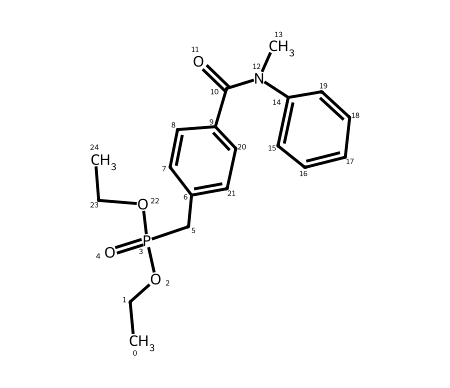 CCOP(=O)(Cc1ccc(C(=O)N(C)c2ccccc2)cc1)OCC